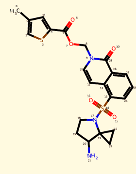 Cc1csc(C(=O)OCn2ccc3c(S(=O)(=O)N4CCC(N)C45CC5)cccc3c2=O)c1